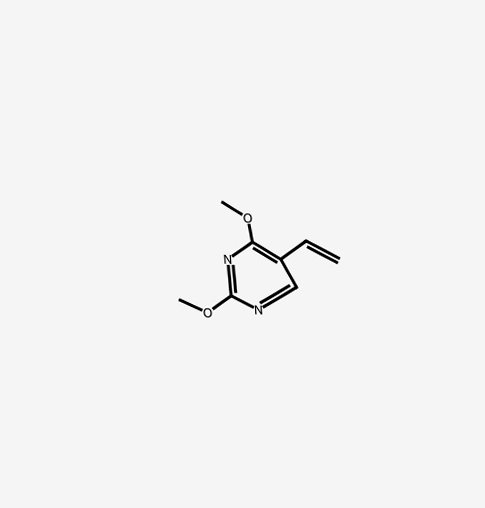 C=Cc1cnc(OC)nc1OC